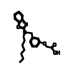 CCCCCCCN(Cc1cccc(OCC(=O)O)c1)c1nc2ccccc2o1